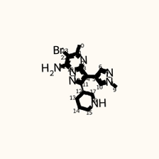 Cc1nc2c(-c3cnn(C)c3)c([C@@H]3CCCNC3)nn2c(N)c1Br